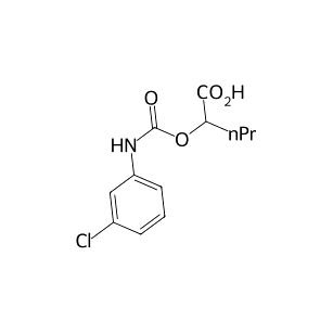 CCCC(OC(=O)Nc1cccc(Cl)c1)C(=O)O